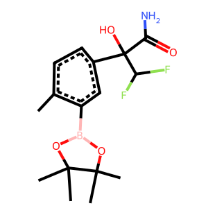 Cc1ccc(C(O)(C(N)=O)C(F)F)cc1B1OC(C)(C)C(C)(C)O1